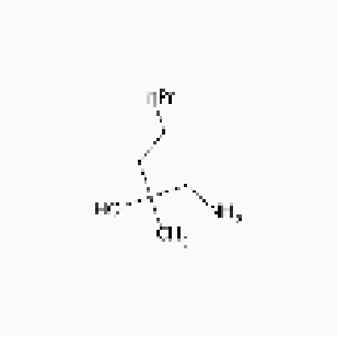 [CH2]CCCCC(C)(O)CN